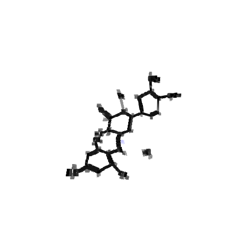 CCn1c(-c2ccc(OC)c(OC)c2)c/c(=N/c2c(C)cc(C)cc2C)n(C)c1=O.Cl